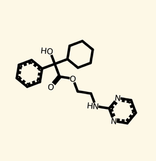 O=C(OCCNc1ncccn1)C(O)(c1ccccc1)C1CCCCC1